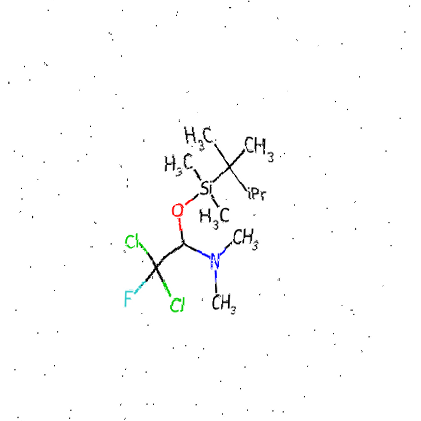 CC(C)C(C)(C)[Si](C)(C)OC(N(C)C)C(F)(Cl)Cl